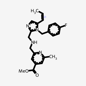 C/C=C\c1cnc(CNCc2cc(C(=O)OC)cc(C)n2)n1Cc1ccc(F)cc1